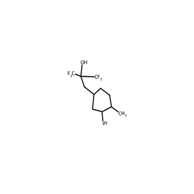 CC(C)C1CC(CC(O)(C(F)(F)F)C(F)(F)F)CCC1C